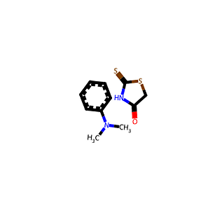 CN(C)c1ccccc1.O=C1CSC(=S)N1